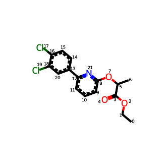 CCOC(=O)C(C)Oc1cccc(-c2ccc(Cl)c(Cl)c2)n1